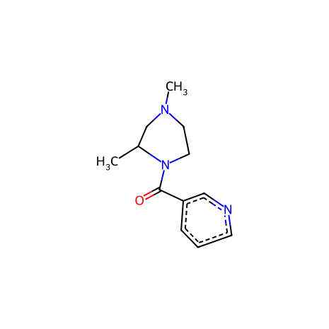 CC1CN(C)CCN1C(=O)c1cccnc1